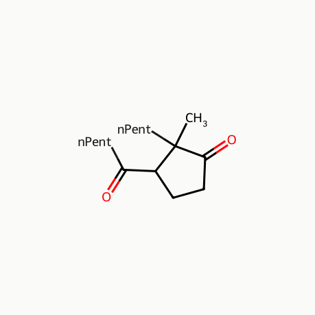 CCCCCC(=O)C1CCC(=O)C1(C)CCCCC